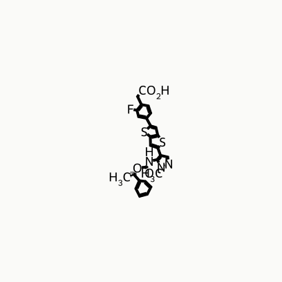 C[C@@H](OC(=O)Nc1c(-c2cc3sc(-c4ccc(CC(=O)O)c(F)c4)cc3s2)cnn1C)c1ccccc1